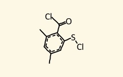 Cc1cc(C)c(C(=O)Cl)c(SCl)c1